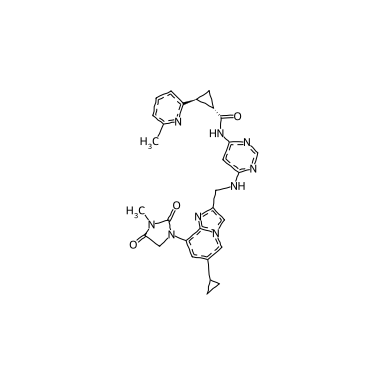 Cc1cccc([C@H]2C[C@@H]2C(=O)Nc2cc(NCc3cn4cc(C5CC5)cc(N5CC(=O)N(C)C5=O)c4n3)ncn2)n1